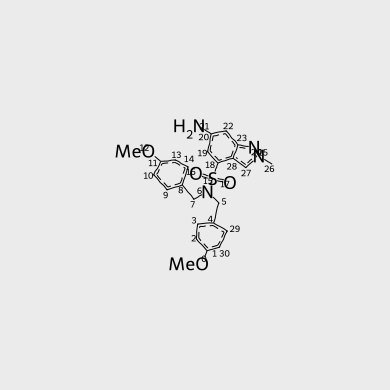 COc1ccc(CN(Cc2ccc(OC)cc2)S(=O)(=O)c2cc(N)cc3nn(C)cc23)cc1